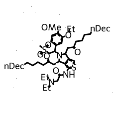 CCCCCCCCCCCCCCC(=O)CC1c2csc(NC(=O)CN(CC)CC)c2C(CC(=O)CCCCCCCCCCCCCC)N1C(CS(C)(=O)=O)c1ccc(OC)c(OCC)c1